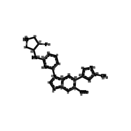 COc1cc2ncn(-c3cccc(NC4CNCC4F)n3)c2cc1-c1cnn(C)c1